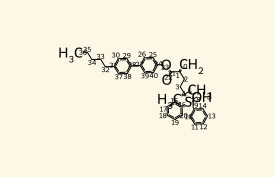 C=C(CCC(C)(C)[Si](O)(c1ccccc1)c1ccccc1)C(=O)Oc1ccc(-c2ccc(CCCCC)cc2)cc1